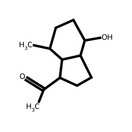 CC(=O)C1CCC2C(O)CCC(C)C12